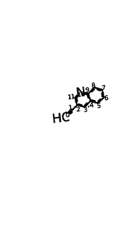 C#Cc1[c]c2ccccc2nc1